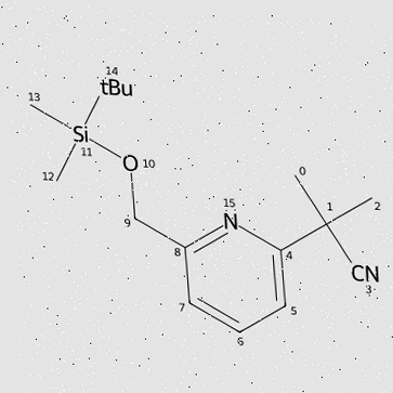 CC(C)(C#N)c1cccc(CO[Si](C)(C)C(C)(C)C)n1